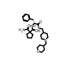 NC(=O)C1(C(=O)N[C@H](Cc2ccccc2)C(=O)NCC2CCN(CC3CCOCC3)CC2)CCCC1